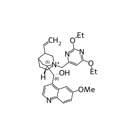 C=CC1C[N+]2(Cc3cc(OCC)nc(OCC)n3)CCC1C[C@H]2[C@H](O)c1ccnc2ccc(OC)cc12